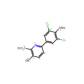 CCOC(=O)c1nc(-c2cc(Cl)c(OC)c(Cl)c2)ccc1N=O